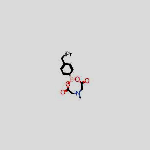 CC(C)Cc1ccc(B2OC(=O)CN(C)CC(=O)O2)cc1